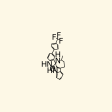 CC1CCc2c([nH]c3ccccc23)C2(N1)C(=O)Nc1ccc(-c3ccc(C(F)(F)F)cc3)cc12